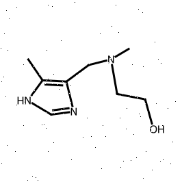 Cc1[nH]cnc1CN(C)CCO